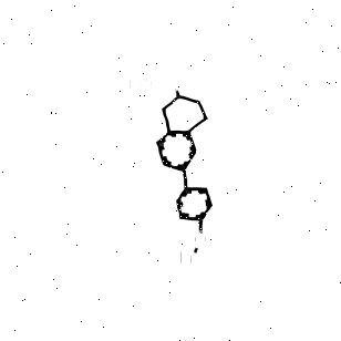 CCCCCC1CCc2cc(-c3ccc(OCCC)cc3)ccc2C1